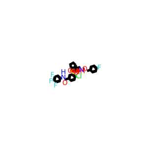 O=C(Nc1cc(F)c(F)c(F)c1)c1ccc(Cl)c(S(=O)(=O)[C@@H]2C3CCC2[C@@](O)(/C=N/OCc2ccc(F)cc2)C3)c1